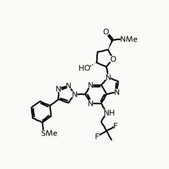 CNC(=O)[C@@H]1C[C@@H](O)C(n2cnc3c(NCC(C)(F)F)nc(-n4cc(-c5cccc(SC)c5)nn4)nc32)O1